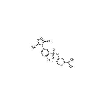 Cc1ccc(-c2c(C)noc2C)cc1S(=O)(=O)Nc1cccc(B(O)O)c1